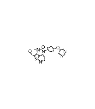 O=Cc1sc2nccc3c2c1NC(=O)N3c1ccc(Oc2cncnc2)cc1